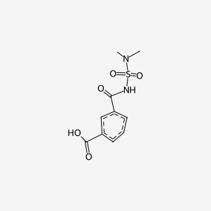 CN(C)S(=O)(=O)NC(=O)c1cccc(C(=O)O)c1